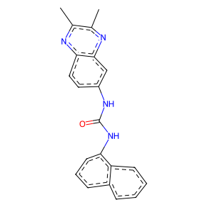 Cc1nc2ccc(NC(=O)Nc3cccc4ccccc34)cc2nc1C